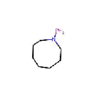 PN1CCCCCCC1